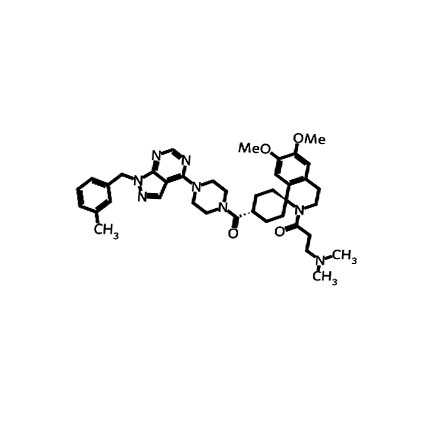 COc1cc2c(cc1OC)[C@]1(CC[C@@H](C(=O)N3CCN(c4ncnc5c4cnn5Cc4cccc(C)c4)CC3)CC1)N(C(=O)CCN(C)C)CC2